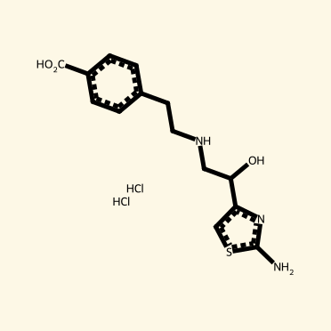 Cl.Cl.Nc1nc(C(O)CNCCc2ccc(C(=O)O)cc2)cs1